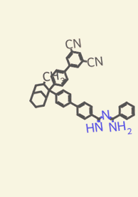 CC1CC2CCCC(C2)C1(c1ccc(-c2ccc(C(=N)/N=C(\N)c3ccccc3)cc2)cc1)c1ccc(-c2cc(C#N)cc(C#N)c2)cc1